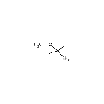 BC(F)(F)OC